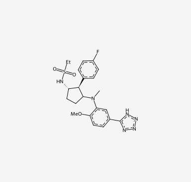 CCS(=O)(=O)N[C@H]1CCC(N(C)c2cc(-c3nnn[nH]3)ccc2OC)[C@@H]1c1ccc(F)cc1